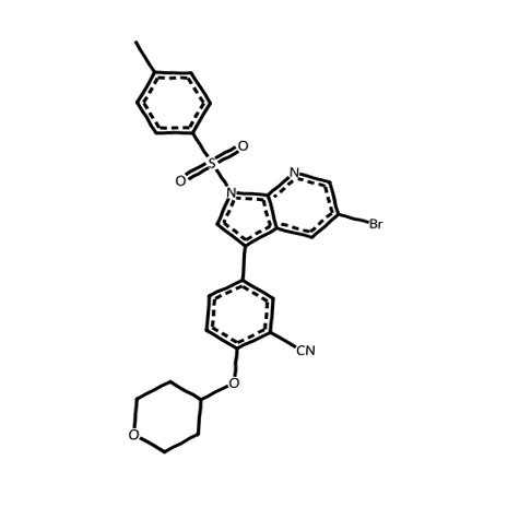 Cc1ccc(S(=O)(=O)n2cc(-c3ccc(OC4CCOCC4)c(C#N)c3)c3cc(Br)cnc32)cc1